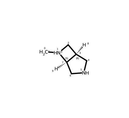 [CH2-][NH+]1C[C@H]2CNC[C@H]21